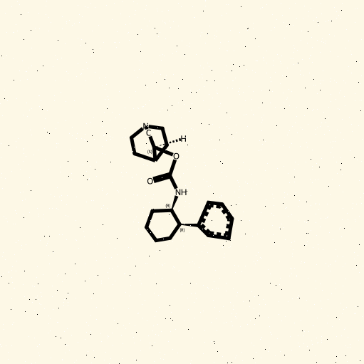 O=C(N[C@@H]1CCCC[C@@H]1c1ccccc1)O[C@@H]1CN2CCC1CC2